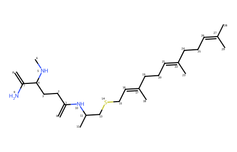 C=C(CCC(NC)C(=C)N)NC(C)CSC/C=C(\C)CC/C=C(\C)CCC=C(C)C